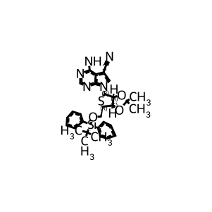 CC1(C)O[C@@H]2[C@H](O1)[C@@H](CO[Si](c1ccccc1)(c1ccccc1)C(C)(C)C)S[C@H]2n1cc(C#N)c2c(N)ncnc21